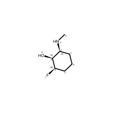 CN[C@H]1CCC[C@@H](F)[C@H]1O